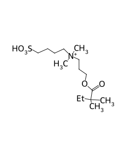 CCC(C)(C)C(=O)OCCC[N+](C)(C)CCCCS(=O)(=O)O